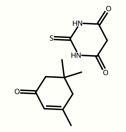 CC1=CC(=O)CC(C)(C)C1.O=C1CC(=O)NC(=S)N1